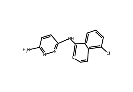 Nc1ccc(Nc2nccc3c(Cl)cccc23)nn1